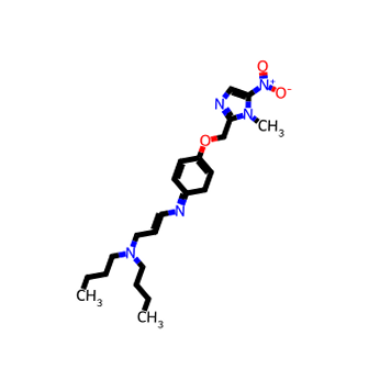 CCCCN(CC=CN=C1C=CC(OCc2ncc([N+](=O)[O-])n2C)=CC1)CCCC